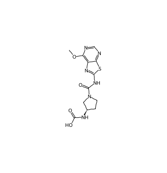 COc1ncnc2sc(NC(=O)N3CC[C@@H](NC(=O)O)C3)nc12